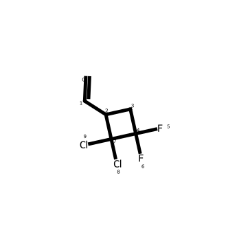 C=CC1CC(F)(F)C1(Cl)Cl